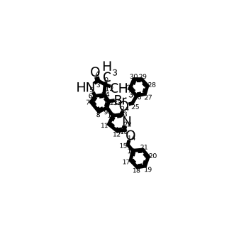 CC1(C)C(=O)Nc2ccc(-c3ccc(OCc4ccccc4)nc3OCc3ccccc3)c(Br)c21